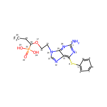 Nc1nc(Sc2ccccc2)c2ncn(CCOC(CC(F)(F)F)P(=O)(O)O)c2n1